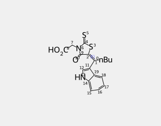 CCCC/C(=C1\SC(=S)N(CC(=O)O)C1=O)c1c[nH]c2ccccc12